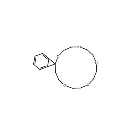 c1ccc2c(c1)C21CCOCCOCCOCCOCCO1